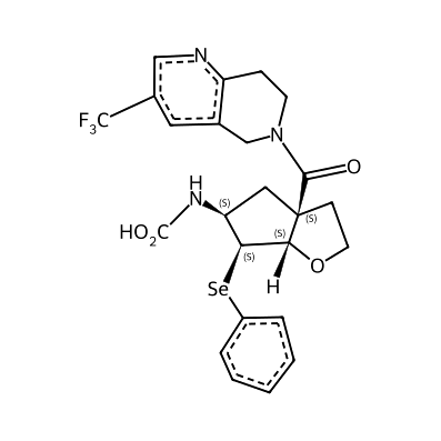 O=C(O)N[C@H]1C[C@]2(C(=O)N3CCc4ncc(C(F)(F)F)cc4C3)CCO[C@@H]2[C@H]1[Se]c1ccccc1